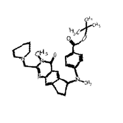 CN(c1ccc(C(=O)OC(C)(C)C)cc1)C1CCc2cc3nc(CN4CCCCC4)n(C)c(=O)c3cc21